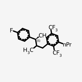 CCCc1cc(C(F)(F)F)cc(CC(C)[C@H](C)c2ccc(F)cc2)c1C(F)(F)F